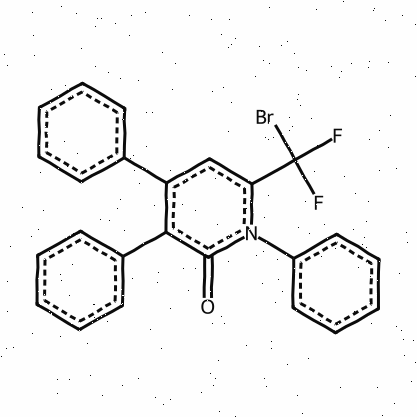 O=c1c(-c2ccccc2)c(-c2ccccc2)cc(C(F)(F)Br)n1-c1ccccc1